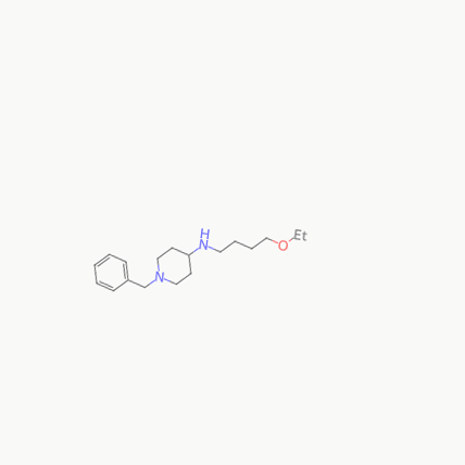 CCOCCCCNC1CCN(Cc2ccccc2)CC1